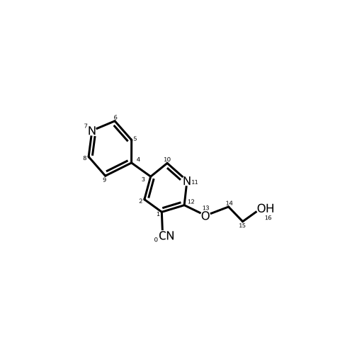 N#Cc1cc(-c2ccncc2)cnc1OCCO